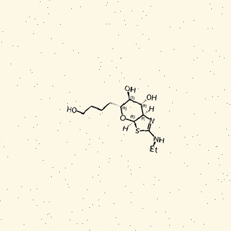 CCNC1=N[C@@H]2[C@@H](O)[C@H](O)[C@@H](CCCCO)O[C@@H]2S1